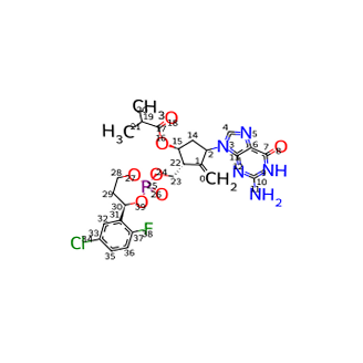 C=C1C(n2cnc3c(=O)[nH]c(N)nc32)C[C@H](OC(=O)C(C)C)[C@H]1CO[P@]1(=O)OCC[C@H](c2cc(Cl)ccc2F)O1